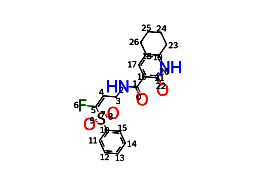 O=C(NC/C=C(/F)S(=O)(=O)c1ccccc1)c1cc2c([nH]c1=O)CCCC2